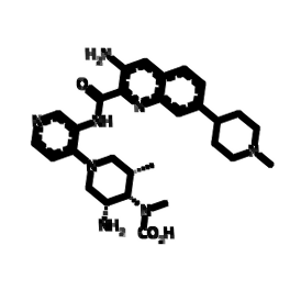 C[C@H]1CN(c2ccncc2NC(=O)c2nc3cc(C4CCN(C)CC4)ccc3cc2N)C[C@@H](N)[C@H]1N(C)C(=O)O